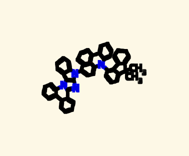 CC1(C)c2ccccc2-c2c(N(c3ccc(-n4c5ccccc5c5c4nc4c6ccccc6c6ccccc6n45)cc3)c3ccccc3-c3ccccc3)cccc21